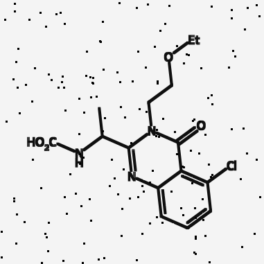 CCOCCn1c(C(C)NC(=O)O)nc2cccc(Cl)c2c1=O